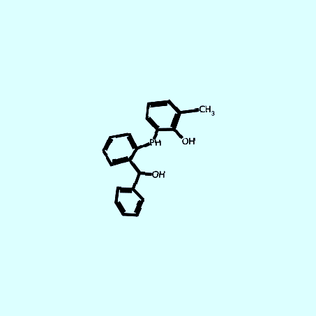 Cc1cccc(Pc2ccccc2C(O)c2ccccc2)c1O